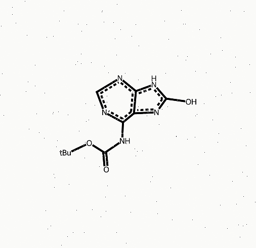 CC(C)(C)OC(=O)Nc1ncnc2[nH]c(O)nc12